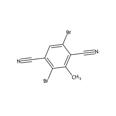 Cc1c(Br)c(C#N)cc(Br)c1C#N